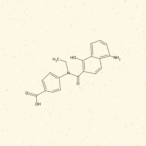 CCN(C(=O)c1ccc2c(N)cccc2c1O)c1ccc(C(=O)O)cc1